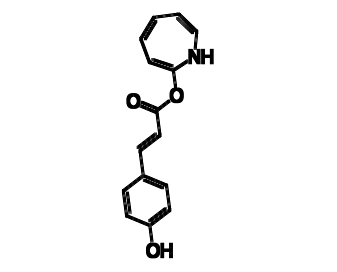 O=C(/C=C/c1ccc(O)cc1)OC1=CC=CC=CN1